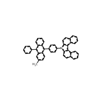 Cc1ccc2c(-c3ccc(-n4c5ccc6ccccc6c5c5c6ccccc6ccc54)cc3)c3ccccc3c(-c3ccccc3)c2c1